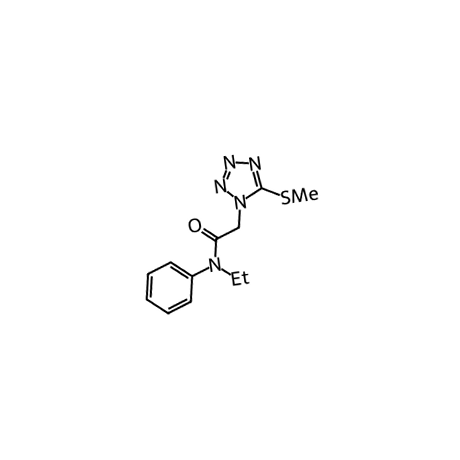 [CH2]Sc1nnnn1CC(=O)N(CC)c1ccccc1